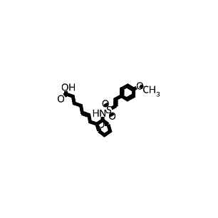 COc1ccc(/C=C/S(=O)(=O)NC2C3CCC(O3)C2C/C=C/CCCC(=O)O)cc1